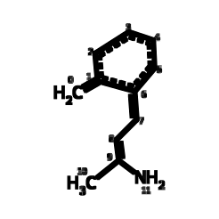 C=c1cccc/c1=C/C=C(/C)N